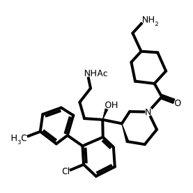 CC(=O)NCCC[C@@](O)(c1cccc(Cl)c1-c1cccc(C)c1)[C@@H]1CCCN(C(=O)C2CCC(CN)CC2)C1